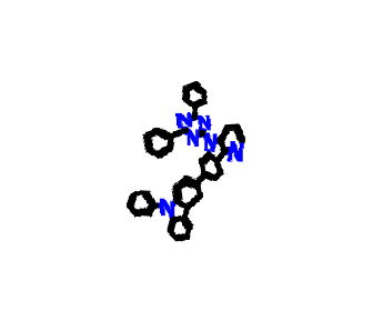 c1ccc(-c2nc(-c3ccccc3)nc(-n3c4cc(-c5ccc6c(c5)c5ccccc5n6-c5ccccc5)ccc4c4ncccc43)n2)cc1